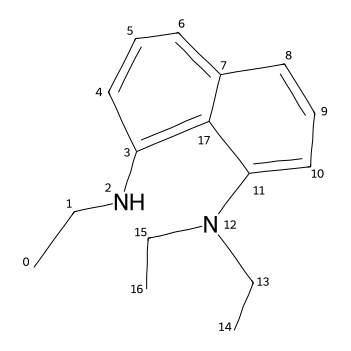 CCNc1cccc2cccc(N(CC)CC)c12